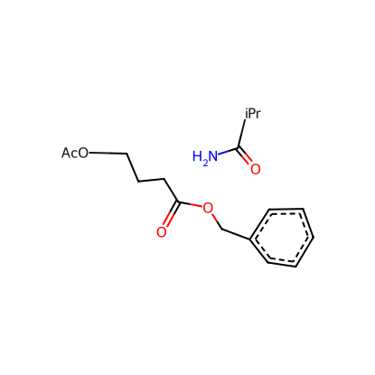 CC(=O)OCCCC(=O)OCc1ccccc1.CC(C)C(N)=O